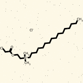 CCCCCCCCCCCCCCCC[N+](C)(C)CCOC(=O)CCl.[Cl-]